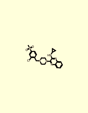 CS(=O)(=O)c1ccc(CN2CCN(c3nc4ccccc4nc3NC3CC3)CC2)c(Cl)c1